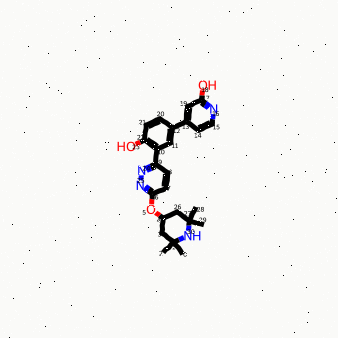 CC1(C)CC(Oc2ccc(-c3cc(-c4ccnc(O)c4)ccc3O)nn2)CC(C)(C)N1